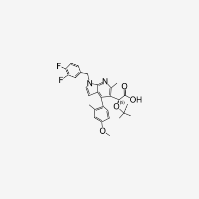 COc1ccc(-c2c([C@H](OC(C)(C)C)C(=O)O)c(C)nc3c2ccn3Cc2ccc(F)c(F)c2)c(C)c1